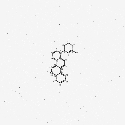 CC1=CC(N2C=CC=c3c2ccc2c3=COc3ccccc3-2)CCC1